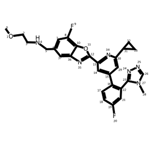 COCCNCc1cc(F)c2oc(-c3cc(-c4ccc(F)cc4-c4nncn4C)cc(C4CC4)n3)nc2c1